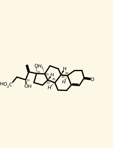 C=C([C@@H](O)CC(=O)O)[C@]1(O)CC[C@H]2[C@@H]3CCC4=CC(=O)CC[C@@H]4[C@H]3CC[C@@]21C